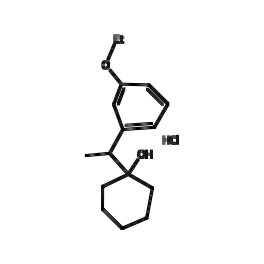 CCOc1cccc(C(C)C2(O)CCCCC2)c1.Cl